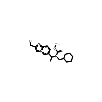 CC(c1ccc2nc(CCl)cn2c1)N(CC1CCCCC1)C(=O)OC(C)(C)C